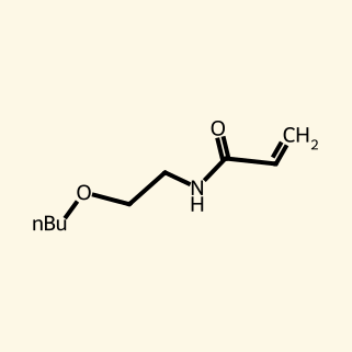 C=CC(=O)NCCOCCCC